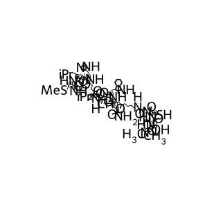 CSCC[C@H](NC(=O)[C@@H](CC(=O)[C@H](Cc1cnc[nH]1)NC(=O)CCC(=O)[C@@H](NC(=O)[C@H](C)CC(=O)[C@H](Cc1c[nH]c2ccccc12)NC(=O)[C@H](CCC(N)=O)CC(=O)CCCCNC(=O)CNC(=O)[C@H](CS)NC(=O)[C@H](CO)NC(=O)CN(C)C)C(C)C)CC(C)C)C(N)=O